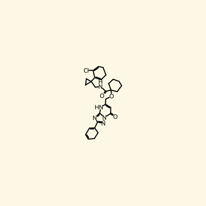 O=C(NCC1(C2=CCCC=C2Cl)CC1)C1(OCc2cc(=O)n3nc(C4=CC=CCC4)nc3[nH]2)CCCCC1